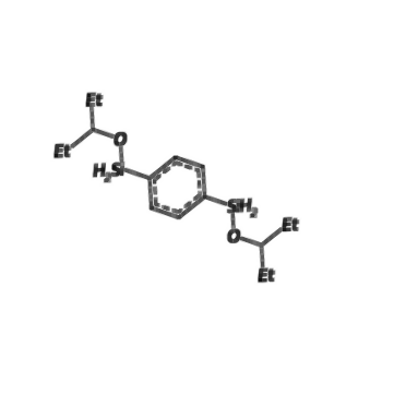 CCC(CC)O[SiH2]c1ccc([SiH2]OC(CC)CC)cc1